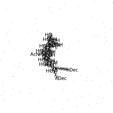 CCCCCCCCCCCCC/C=C/[C@@H](O)[C@H](CO[C@@H]1OC(CO)[C@@H](O[C@@H]2OC(CO)[C@H](O)[C@H](O[C@@H]3OC(CO)[C@@H](O[C@@H]4OC(CO)[C@H](O)[C@H](O[C@]5(C(=O)O)CC(O)[C@@H](NC(=O)CO)C([C@H](O)[C@H](O)CO)O5)C4O)[C@H](O)C3NC(C)=O)C2O)[C@H](O)C1O)NC(=O)CCCCCCCCCCCCCCCCC